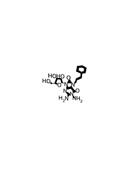 Nc1nc2c(c(=O)n1N)n(CC=Cc1ccccc1)c(=O)n2[C@@H]1O[C@H](CO)C(O)C1O